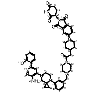 Nc1nnc(-c2ccccc2O)cc1N1CCN(c2cccc(CN3CCN(C(=O)CC4CCN(c5ccc6c(c5)C(=O)N(C5CCC(=O)NC5=O)C6=O)CC4)CC3)c2)C2(CC2)C1